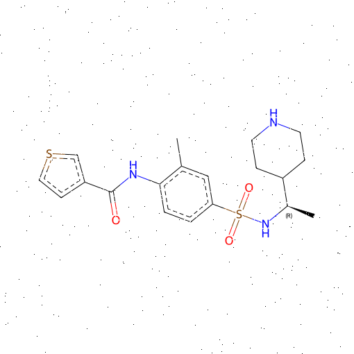 Cc1cc(S(=O)(=O)N[C@H](C)C2CCNCC2)ccc1NC(=O)c1ccsc1